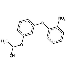 CC(C#N)Oc1cccc(Oc2ccccc2[N+](=O)[O-])c1